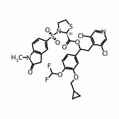 CN1C(=O)Cc2cc(S(=O)(=O)N3CCS[C@H]3C(=O)OC(Cc3c(Cl)cncc3Cl)c3ccc(OC(F)F)c(OCC4CC4)c3)ccc21